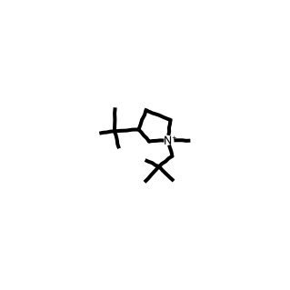 CC(C)(C)C[N+]1(C)CCC(C(C)(C)C)C1